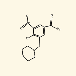 NC(=O)c1cc(CN2CCOCC2)c(Cl)c([N+](=O)[O-])c1